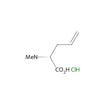 C=CC[C@@H](NC)C(=O)O.Cl